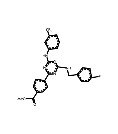 COC(=O)c1ccc(-c2nc(NCc3ccc(F)cc3)nc(Nc3cccc(C(F)(F)F)c3)n2)cc1